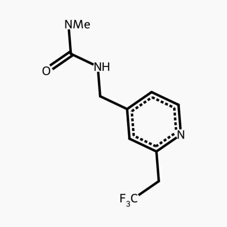 CNC(=O)NCc1ccnc(CC(F)(F)F)c1